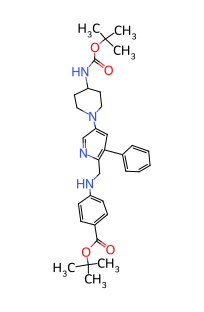 CC(C)(C)OC(=O)NC1CCN(c2cnc(CNc3ccc(C(=O)OC(C)(C)C)cc3)c(-c3ccccc3)c2)CC1